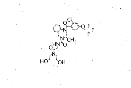 C[C@@H]1CN(C(=O)c2ccc(OCC(F)(F)F)cc2Cl)c2ccccc2CN1C(=O)NCC(=O)N(CCO)CCO